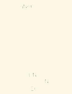 CCCCCCCCCCCCCCCCCCNC(CC)N(C)C